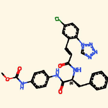 COC(=O)Nc1ccc(NC(=O)[C@H](Cc2ccccc2)NC(=O)C=Cc2cc(Cl)ccc2-n2cnnn2)cc1